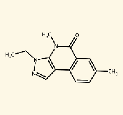 CCn1ncc2c3ccc(C)cc3c(=O)n(C)c21